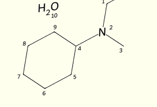 CCN(C)C1CCCCC1.O